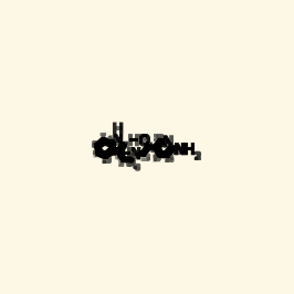 C[C@H](Cc1c[nH]c2ccccc12)NC[C@H](O)c1ccc(N)nc1